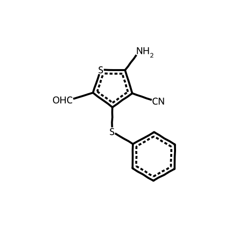 N#Cc1c(N)sc(C=O)c1Sc1ccccc1